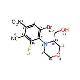 N#Cc1c([N+](=O)[O-])cc(Br)c(N2CCOC[C@H]2CO)c1F